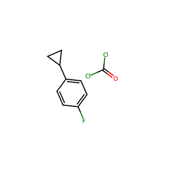 Fc1ccc(C2CC2)cc1.O=C(Cl)Cl